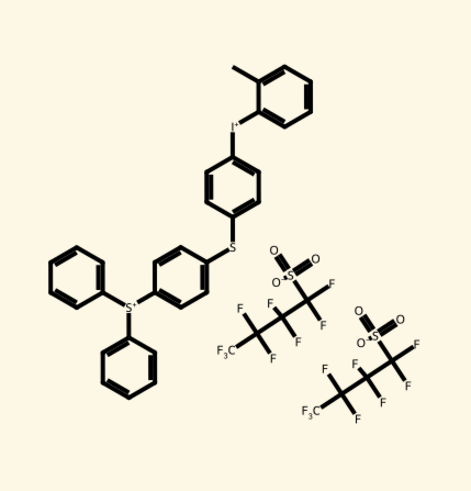 Cc1ccccc1[I+]c1ccc(Sc2ccc([S+](c3ccccc3)c3ccccc3)cc2)cc1.O=S(=O)([O-])C(F)(F)C(F)(F)C(F)(F)C(F)(F)F.O=S(=O)([O-])C(F)(F)C(F)(F)C(F)(F)C(F)(F)F